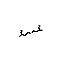 CC(S)CCOCCC(C)S